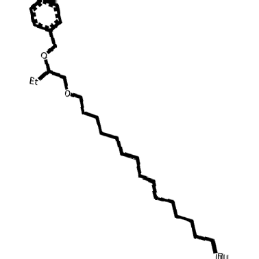 CCC(C)CCCCCCCCCCCCCCCOCC(CC)OCc1ccccc1